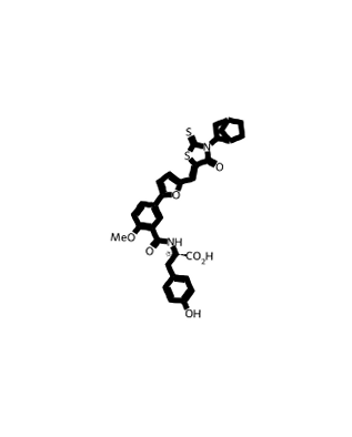 COc1ccc(-c2ccc(C=C3SC(=S)N(C4CC5CCC4C5)C3=O)o2)cc1C(=O)N[C@@H](Cc1ccc(O)cc1)C(=O)O